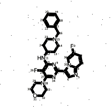 Fc1ccc2ncc(-c3nc(NC4CCN(Cc5ccccc5)CC4)c(F)c(N4CCOCC4)n3)n2c1